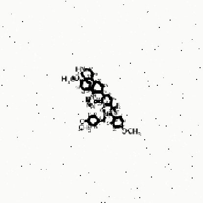 COc1ccc(CN(Cc2ccc(OC)cc2)Sc2c(C(F)(F)F)ccc(-c3ccc(C4CCNCC4)cc3)c2-c2nnnn2Cc2ccc(OC)cc2)cc1